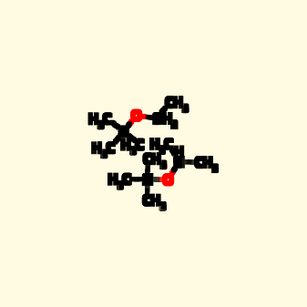 C[SiH2]O[Si](C)(C)C.C[SiH](C)O[Si](C)(C)C